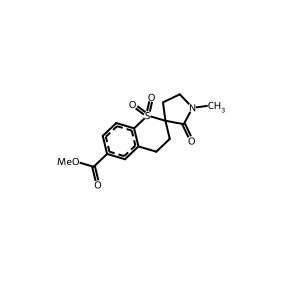 COC(=O)c1ccc2c(c1)CCC1(CCN(C)C1=O)S2(=O)=O